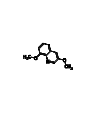 COc1cnc2c(OC)cccc2c1